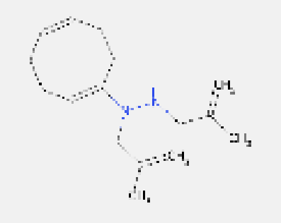 C=C(C)CNN(CC(=C)C)C1=CCCC=CCC1